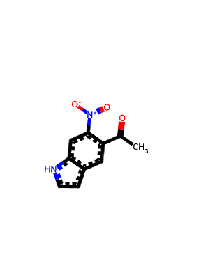 CC(=O)c1cc2cc[nH]c2cc1[N+](=O)[O-]